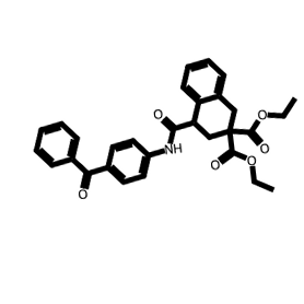 CCOC(=O)C1(C(=O)OCC)Cc2ccccc2C(C(=O)Nc2ccc(C(=O)c3ccccc3)cc2)C1